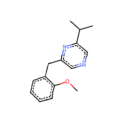 COc1ccccc1Cc1cncc(C(C)C)n1